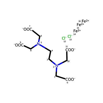 O=C([O-])CN(CCN(CC(=O)[O-])CC(=O)[O-])CC(=O)[O-].[Cl-].[Cl-].[Fe+2].[Fe+2].[Fe+2]